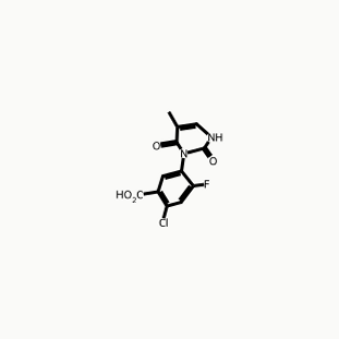 Cc1c[nH]c(=O)n(-c2cc(C(=O)O)c(Cl)cc2F)c1=O